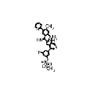 Cc1cc(N)c(C(=N)c2cc3c(-c4cc(F)cc(CNS(C)(=O)=O)c4)cncc3[nH]2)cc1-c1ccccn1